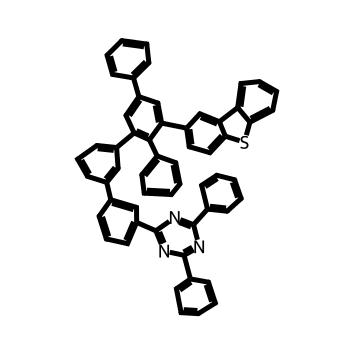 c1ccc(-c2cc(-c3cccc(-c4cccc(-c5nc(-c6ccccc6)nc(-c6ccccc6)n5)c4)c3)c(-c3ccccc3)c(-c3ccc4sc5ccccc5c4c3)c2)cc1